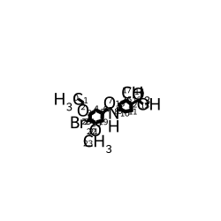 CCOc1cc(C(=O)Nc2ccc(C(=O)O)c(C)c2)cc(OCC)c1Br